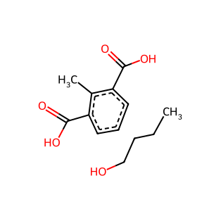 CCCCO.Cc1c(C(=O)O)cccc1C(=O)O